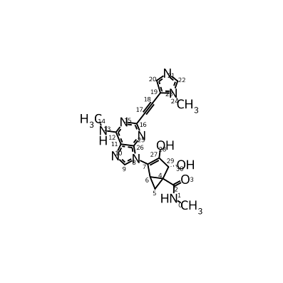 CNC(=O)C12CC1C(n1cnc3c(NC)nc(C#Cc4cncn4C)nc31)=C(O)[C@@H]2O